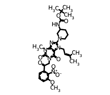 COc1cccc(C(=O)Cn2c(=O)c3c(nc(N4CCCC(NC(=O)OC(C)(C)C)C4)n3CC=C(C)C)n(C)c2=O)c1[N+](=O)[O-]